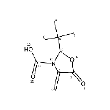 C=C1C(=O)OC(C(C)(C)C)N1C(=O)O